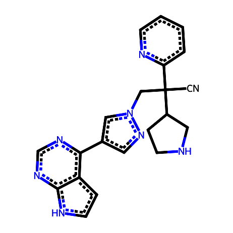 N#CC(Cn1cc(-c2ncnc3[nH]ccc23)cn1)(c1ccccn1)C1CCNC1